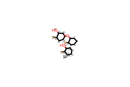 OC1CCCCC1[S-].OC1CCCCC1[S-].OC1CCCCC1[S-].[Sb+3]